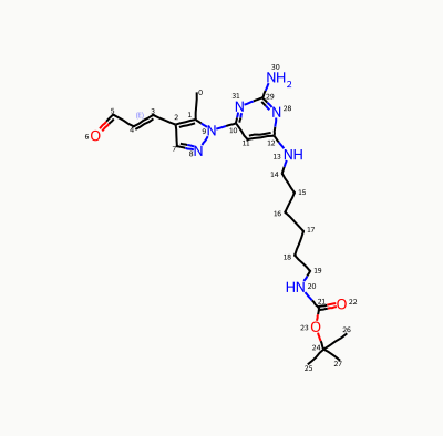 Cc1c(/C=C/C=O)cnn1-c1cc(NCCCCCCNC(=O)OC(C)(C)C)nc(N)n1